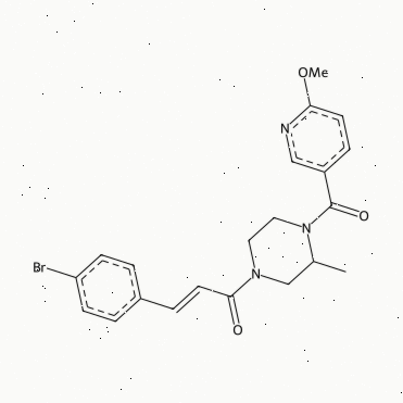 COc1ccc(C(=O)N2CCN(C(=O)/C=C/c3ccc(Br)cc3)CC2C)cn1